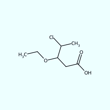 CCOC(CC(=O)O)C(C)Cl